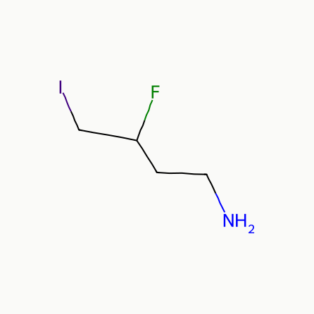 NCCC(F)CI